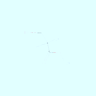 CCC(C)(CO)C(=O)OC(C)(C)C